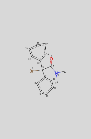 CN(C)C(=O)C(Br)(c1ccccc1)c1ccccc1